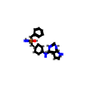 N=[S@](=O)(Cc1ccccc1)C[C@H]1CC[C@H](Nc2ncnc3[nH]ccc23)CC1